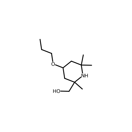 CCCOC1CC(C)(C)NC(C)(CO)C1